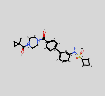 CC1(C(=O)N2CCN(C(=O)c3ccc(-c4cccc(NS(=O)(=O)C5CCC5)c4)cc3)CC2)CC1